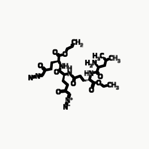 C=CCOC(=O)[C@H](CCC(=O)C=[N+]=[N-])NC(=O)[C@H](CCC(=O)C=[N+]=[N-])NC(=O)CC[C@H](NC(=O)[C@@H](N)CC(C)C)C(=O)OCC